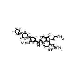 C=CCn1c(=O)c2cnc(Nc3ccc(N4CCC(N5CCCC5)CC4)c(OC)c3)nc2n1C(/C=C\C=O)=N/N(C)C(C)C